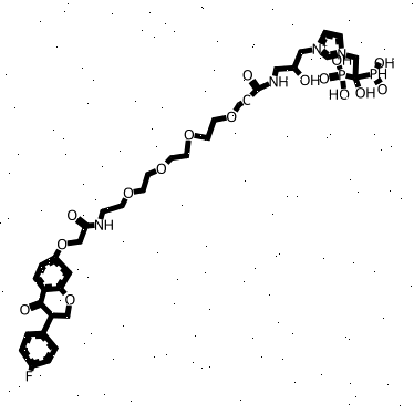 O=C(CCOCCOCCOCCOCCNC(=O)COc1ccc2c(c1)OCC(c1ccc(F)cc1)C2=O)NCC(O)C[n+]1ccn(CC(O)([PH](=O)O)P(=O)(O)O)c1